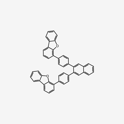 c1ccc2cc(-c3ccc(-c4cccc5c4oc4ccccc45)cc3)c(-c3ccc(-c4cccc5c4oc4ccccc45)cc3)cc2c1